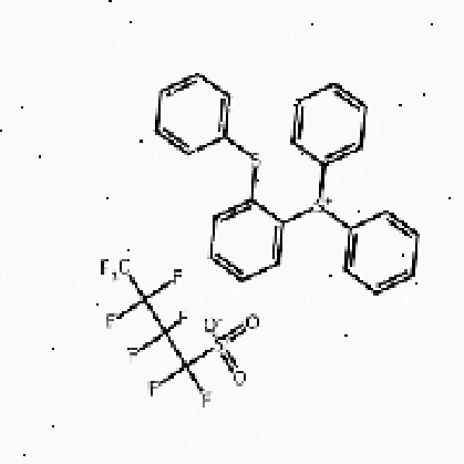 O=S(=O)([O-])C(F)(F)C(F)(F)C(F)(F)C(F)(F)F.c1ccc(Sc2ccccc2[S+](c2ccccc2)c2ccccc2)cc1